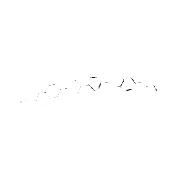 C=CCCc1ccc(OCc2ccc(C3CCC(C4CCC5CC(CCC)CCC5C4)CC3)cc2)c(F)c1F